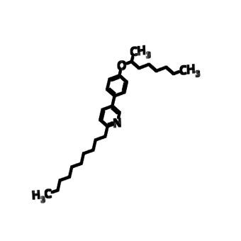 CCCCCCCCCCc1ccc(-c2ccc(OC(C)CCCCCC)cc2)cn1